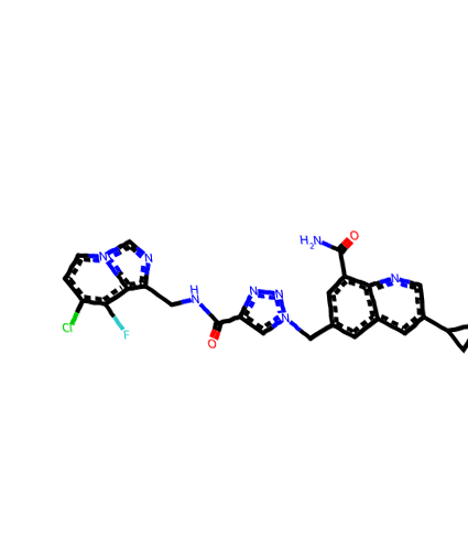 NC(=O)c1cc(Cn2cc(C(=O)NCc3ncn4ccc(Cl)c(F)c34)nn2)cc2cc(C3CC3)cnc12